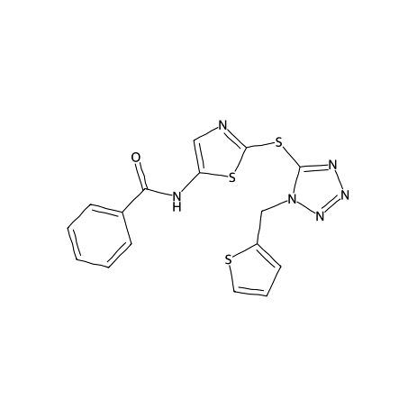 O=C(Nc1cnc(Sc2nnnn2Cc2cccs2)s1)c1ccccc1